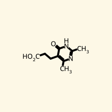 Cc1nc(C)c(CCC(=O)O)c(=O)[nH]1